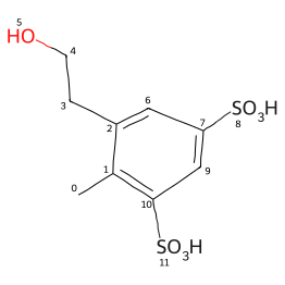 Cc1c(CCO)cc(S(=O)(=O)O)cc1S(=O)(=O)O